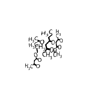 CC(C)=O.CCCC(=O)CC(C)=O.CCOC(=O)CC(C)=O.COC(=O)CC(C)=O